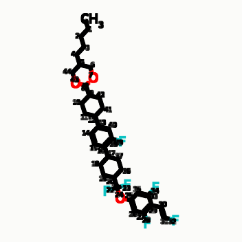 CCCCCC1COC(C2CCC(c3ccc(C4CCC(C(F)(F)Oc5cc(F)c(/C=C/F)c(F)c5)CC4)c(F)c3)CC2)OC1